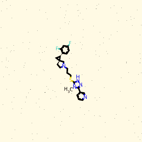 CN1C(c2cccnc2)=NNC1SCCCN1CC[C@]2(C[C@@H]2c2ccc(F)cc2F)C1